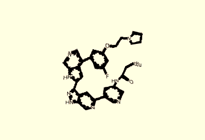 CC(C)(C)CC(=O)Nc1cncc(-c2cc3c(-c4cc5c(-c6cc(F)cc(OCCN7CCCC7)c6)cncc5[nH]4)n[nH]c3cn2)c1